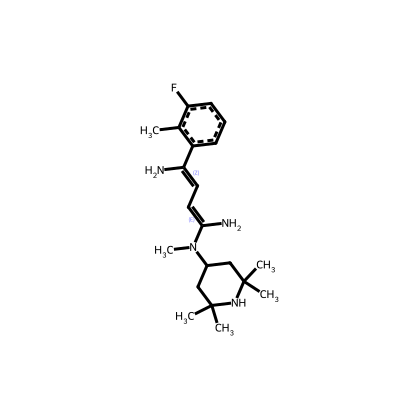 Cc1c(F)cccc1/C(N)=C/C=C(\N)N(C)C1CC(C)(C)NC(C)(C)C1